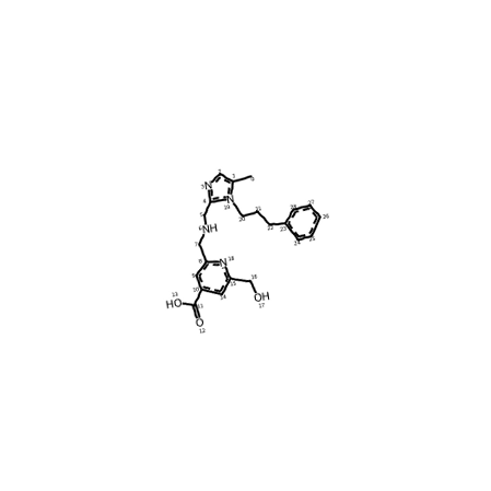 Cc1cnc(CNCc2cc(C(=O)O)cc(CO)n2)n1CCCc1ccccc1